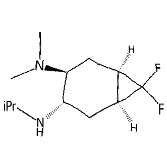 CC(C)N[C@H]1C[C@H]2[C@@H](C[C@@H]1N(C)C)C2(F)F